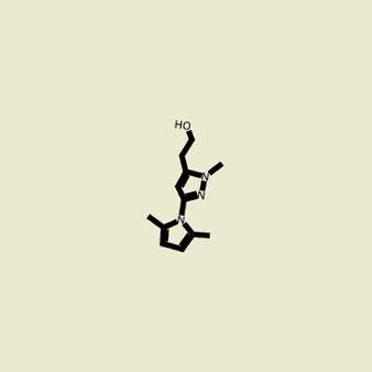 Cc1ccc(C)n1-c1cc(CCO)n(C)n1